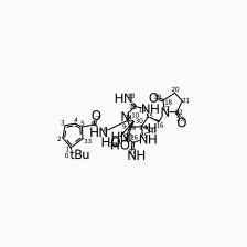 CC(C)(C)c1cccc(C(=O)NC2CN3C(=N)N[C@@H](CN4C(=O)CCC4=O)[C@@H]4NC(=N)NC43C2(O)O)c1